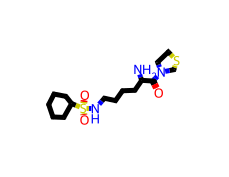 NC(CCCCNS(=O)(=O)C1CCCCC1)C(=O)N1CCSC1